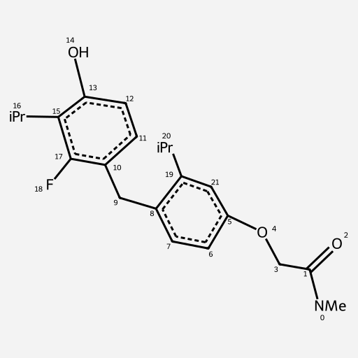 CNC(=O)COc1ccc(Cc2ccc(O)c(C(C)C)c2F)c(C(C)C)c1